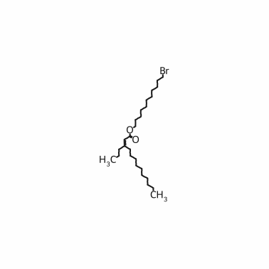 CCCCCCCCCC/C(=C\C(=O)OCCCCCCCCCCCBr)CCC